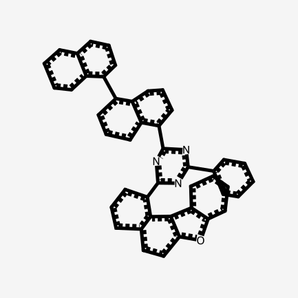 c1ccc(-c2nc(-c3cccc4c(-c5cccc6ccccc56)cccc34)nc(-c3cccc4ccc5oc6ccccc6c5c34)n2)cc1